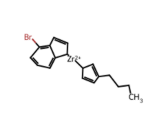 CCCCC1=C[CH]([Zr+2][CH]2C=Cc3c(Br)cccc32)C=C1